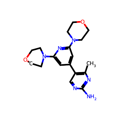 Cc1nc(N)ncc1-c1cc(N2CCOCC2)nc(N2CCOCC2)c1